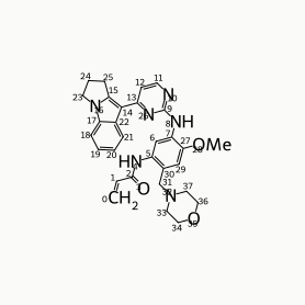 C=CC(=O)Nc1cc(Nc2nccc(-c3c4n(c5ccccc35)CCC4)n2)c(OC)cc1CN1CCOCC1